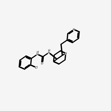 O=C(Nc1ccccc1Cl)NC1C2CCN(CC2)C1Cc1cccnc1